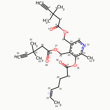 C#CC(C)(C)CC(=O)OCc1cnc(C)c(OC(=O)CCC/C=C\C)c1COC(=O)CC(C)(C)C#C